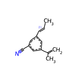 C=C(C)c1cc(C#N)cc(/C=C/C)c1